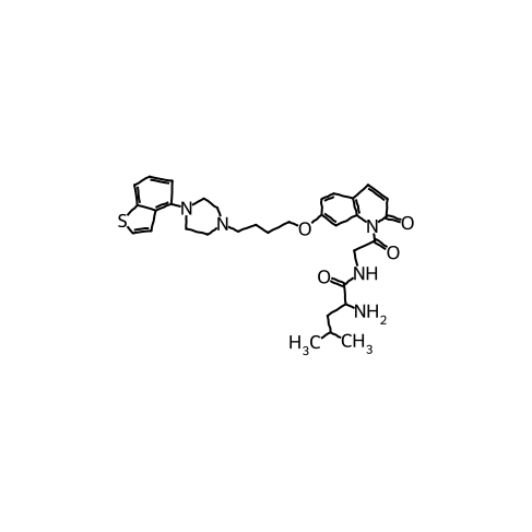 CC(C)CC(N)C(=O)NCC(=O)n1c(=O)ccc2ccc(OCCCCN3CCN(c4cccc5sccc45)CC3)cc21